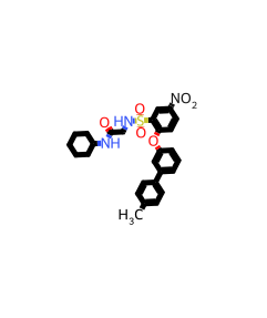 Cc1ccc(-c2cccc(Oc3ccc([N+](=O)[O-])cc3S(=O)(=O)NCC(=O)NC3CCCCC3)c2)cc1